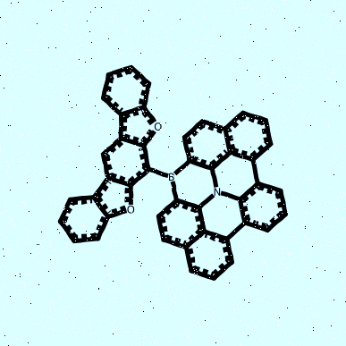 c1cc2c3c(c1)-c1cccc4ccc5c(c14)N3c1c(ccc3cccc-2c13)B5c1c2oc3ccccc3c2cc2c1oc1ccccc12